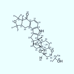 CC1(C)OC(C)(C)C2(C)C(=O)c3ccc4[nH]c5c(c4c3CC12)CC1CC[C@]2(O)[C@](C)(CCC3O[C@H](C(C)(C)O)C[C@H]4O[C@@]342)[C@@]51C